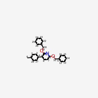 Cc1ccc(-c2ccc(OCc3ccccc3)nc2OCc2ccccc2)cc1